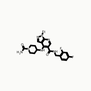 CCn1ncc2c(NC3CCN(C(N)=O)CC3)c(C(=O)NCc3ccc(F)cc3F)cnc21